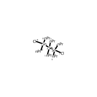 CC[CH2][Sn]([Cl])([CH2]CC)[Sn]([CH2]CC)([CH2]CC)[Sn]([Cl])([CH2]CC)[CH2]CC